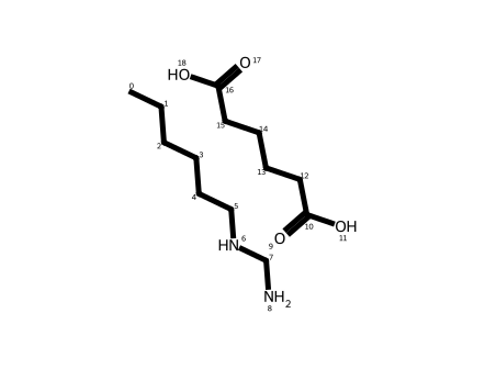 CCCCCCNCN.O=C(O)CCCCC(=O)O